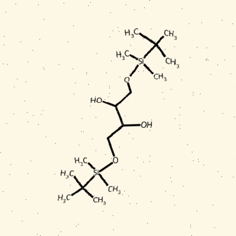 CC(C)(C)[Si](C)(C)OCC(O)C(O)CO[Si](C)(C)C(C)(C)C